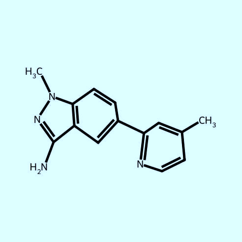 Cc1ccnc(-c2ccc3c(c2)c(N)nn3C)c1